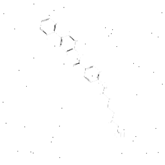 O=C(Oc1ccc(-c2ccccc2)cc1)c1ccc(OCCCCCCO)cc1